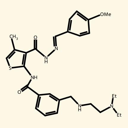 CCN(CC)CCNCc1cccc(C(=O)Nc2scc(C)c2C(=O)N/N=C/c2ccc(OC)cc2)c1